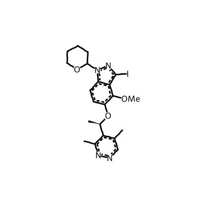 COc1c(O[C@H](C)c2c(C)cnnc2C)ccc2c1c(I)nn2C1CCCCO1